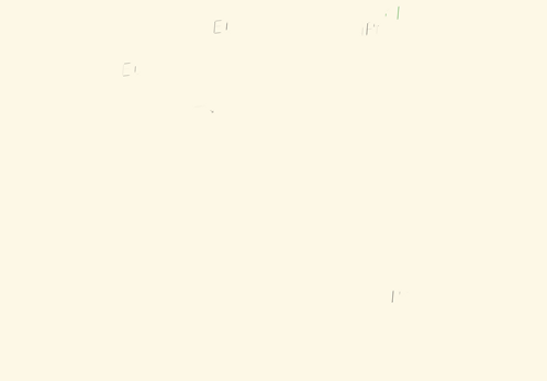 CC[C](CC)=[Ti+2]([C]1=CC=CC1)[c]1cc(C(C)C)cc2c1Cc1ccc(C(C)C)cc1-2.[Cl-].[Cl-]